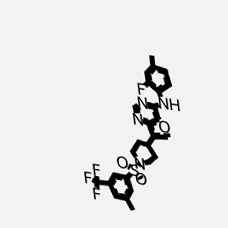 Cc1cc(C(F)(F)F)cc(S(=O)(=O)N2CCC(c3coc4c(Nc5ccc(C)cc5F)ncnc34)CC2)c1